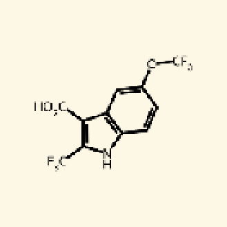 O=C(O)c1c(C(F)(F)F)[nH]c2ccc(OC(F)(F)F)cc12